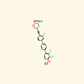 CCCCCC1CCC(C#Cc2ccc(-c3ccc(-c4ccc(OCC)c(F)c4F)cc3)cc2F)CO1